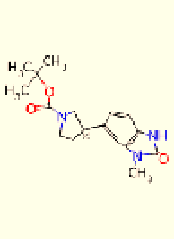 Cn1c(=O)[nH]c2ccc([C@H]3CCN(C(=O)OC(C)(C)C)C3)cc21